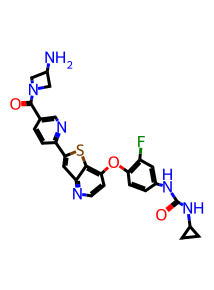 NC1CN(C(=O)c2ccc(-c3cc4nccc(Oc5ccc(NC(=O)NC6CC6)cc5F)c4s3)nc2)C1